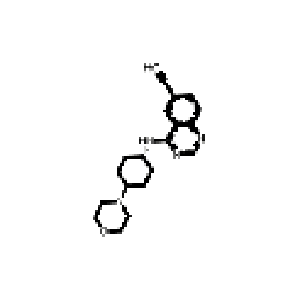 C#Cc1ccc2ncnc(N[C@H]3CC[C@H](N4CCOCC4)CC3)c2c1